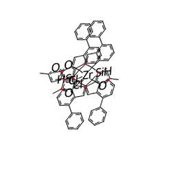 Cc1ccc(C2=Cc3c(-c4ccccc4)cccc3[C]23[SiH](C)[C]2(C(c4ccc(C)o4)=Cc4c(-c5ccccc5)cccc42)[Zr]32([Cl])([Cl])[C]3(C(c4ccc(C)o4)=Cc4c(-c5ccccc5)cccc43)[SiH](C)[C]23C(c2ccc(C)o2)=Cc2c(-c4ccccc4)cccc23)o1